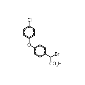 O=C(O)C(Br)c1ccc(Oc2ccc(Cl)cc2)cc1